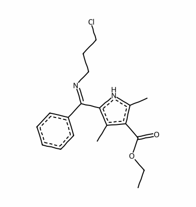 CCOC(=O)c1c(C)[nH]c(C(=NCCCCl)c2ccccc2)c1C